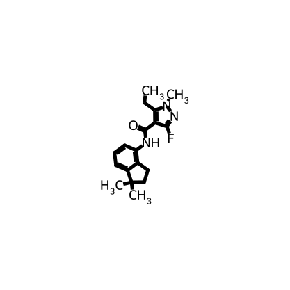 CCc1c(C(=O)Nc2cccc3c2CCC3(C)C)c(F)nn1C